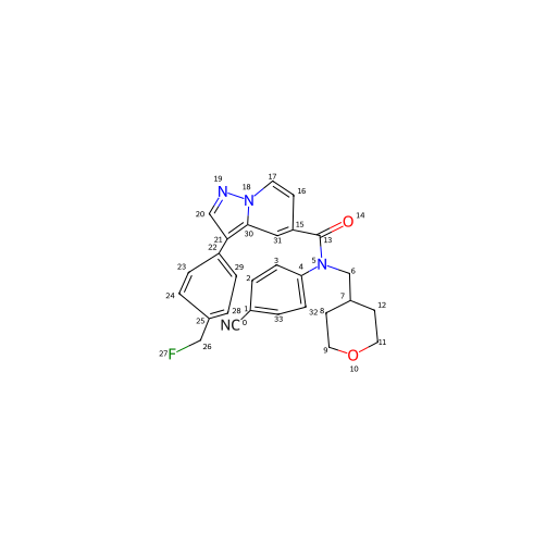 N#Cc1ccc(N(CC2CCOCC2)C(=O)c2ccn3ncc(-c4ccc(CF)cc4)c3c2)cc1